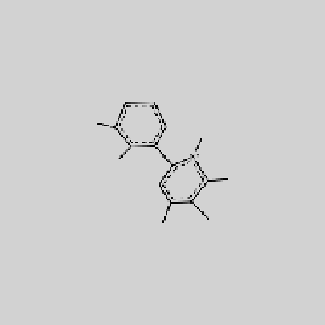 Cc1cccc(-c2cc(C)c(C)c(C)[n+]2C)c1C